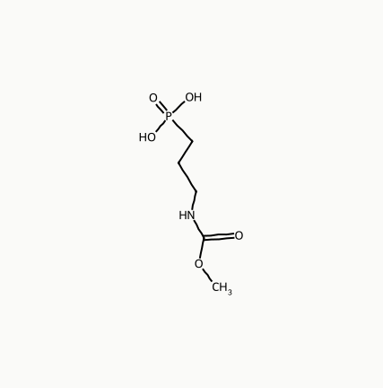 COC(=O)NCCCP(=O)(O)O